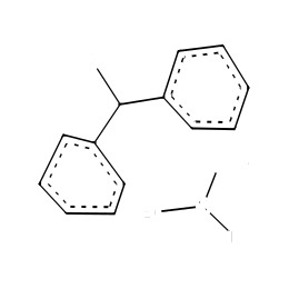 CCN(C=O)CC.OC(c1ccccc1)c1ccccc1